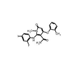 Cc1ccccc1Oc1cc(=O)n(C)c(Nc2ccc(I)cc2F)c1C(N)=O